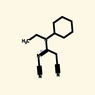 CCN(/C(CC#N)=N/C#N)C1CCCCC1